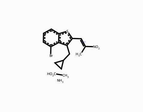 C/C(=C\c1sc2cccc(Br)c2c1CC1CC1)[N+](=O)[O-].CC(=O)O.N